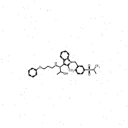 CC(O)C(NCCCOc1ccccc1)c1c(C(=O)O)n(Cc2cccc(S(=O)(=O)N(C)C(F)(F)F)c2)c2ccccc12